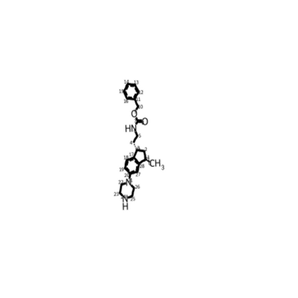 C[C@@H]1C[C@@H](CCNC(=O)OCc2ccccc2)c2ccc(N3CCNCC3)cc21